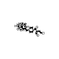 O=NN(CCCl)C(=O)N1CCN(CCCC(O)(P(=O)(O)O)P(=O)(O)O)CC1